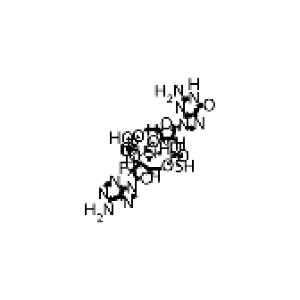 CC(C)(C)[Si](C)(C)O[C@H]1[C@H]2OP(=O)(S)OC[C@H]3OC(n4cnc5c(N)ncnc54)[C@H](F)[C@@H]3OP(=O)(O)OC[C@H]1O[C@H]2n1cnc2c(=O)[nH]c(N)nc21